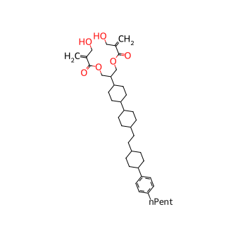 C=C(CO)C(=O)OCC(COC(=O)C(=C)CO)C1CCC(C2CCC(CCC3CCC(c4ccc(CCCCC)cc4)CC3)CC2)CC1